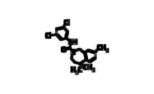 Cc1ccc2c(c1)CN(C(=O)Nc1cc(Cl)cc(Cl)c1)CCC2(C)C